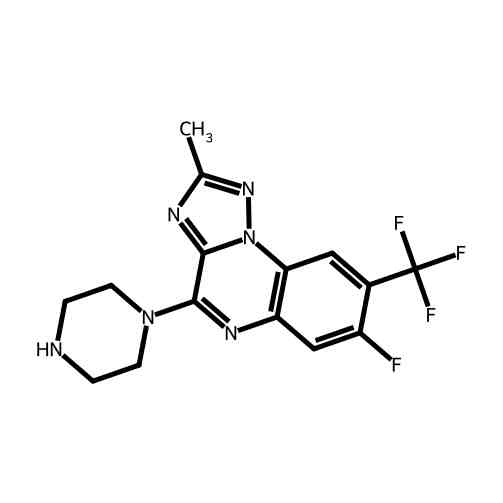 Cc1nc2c(N3CCNCC3)nc3cc(F)c(C(F)(F)F)cc3n2n1